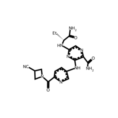 CC[C@@H](Nc1cnc(C(N)=O)c(Nc2ccc(C(=O)N3CC(C#N)C3)nc2)n1)C(N)=O